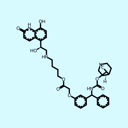 O=C(COc1cccc(C(NC(=O)O[C@H]2CN3CCC2CC3)c2ccccc2)c1)OCCCCNC[C@@H](O)c1ccc(O)c2[nH]c(=O)ccc12